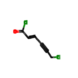 O=C(Cl)C=CC#CCCl